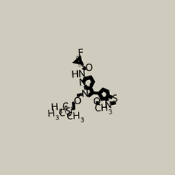 COc1c(-c2cn(COCC[Si](C)(C)C)c3nc(NC(=O)[C@@H]4C[C@@H]4F)ccc23)ccc2scnc12